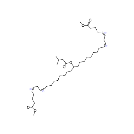 COC(=O)CCC/C=C\C/C=C\CCCCCCCCC(CCCCCCCC/C=C\C/C=C\CCCC(=O)OC)OC(=O)CC(C)C